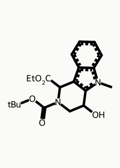 CCOC(=O)C1c2c(n(C)c3ccccc23)C(O)CN1C(=O)OC(C)(C)C